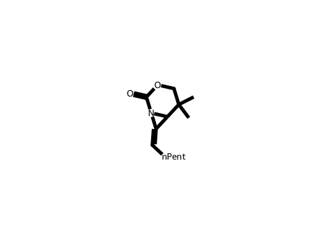 CCCCC/C=C1\C2N1C(=O)OCC2(C)C